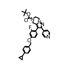 CC(C)(C)OC(=O)N1CCn2nc(-c3ccncc3)c(-c3ccc(OCc4ccc(C5CC5)cc4)cc3F)c2C1